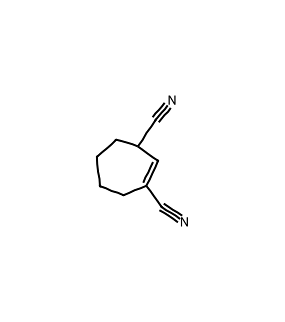 N#CC1=CC(C#N)CCCC1